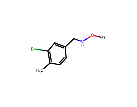 CCONCc1ccc(C)c(Br)c1